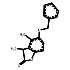 Cc1c(OCc2ccccc2)ccc2c1C(C)C(=O)N2